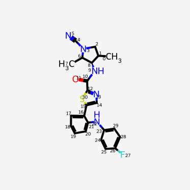 CC1CN(C#N)C(C)[C@@H]1NC(=O)c1ncc(-c2ccccc2Nc2ccc(F)cc2)s1